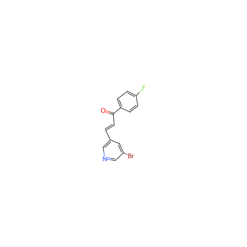 O=C(C=Cc1cncc(Br)c1)c1ccc(F)cc1